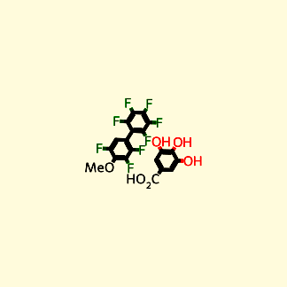 COc1c(F)cc(-c2c(F)c(F)c(F)c(F)c2F)c(F)c1F.O=C(O)c1cc(O)c(O)c(O)c1